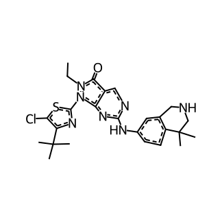 CCn1c(=O)c2cnc(Nc3ccc4c(c3)CNCC4(C)C)nc2n1-c1nc(C(C)(C)C)c(Cl)s1